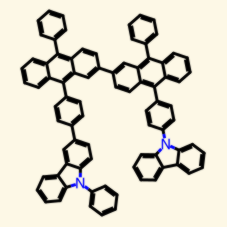 c1ccc(-c2c3ccccc3c(-c3ccc(-c4ccc5c(c4)c4ccccc4n5-c4ccccc4)cc3)c3cc(-c4ccc5c(-c6ccc(-n7c8ccccc8c8ccccc87)cc6)c6ccccc6c(-c6ccccc6)c5c4)ccc23)cc1